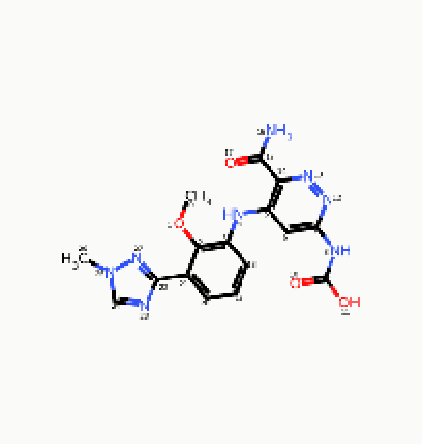 COc1c(Nc2cc(NC(=O)O)nnc2C(N)=O)cccc1-c1ncn(C)n1